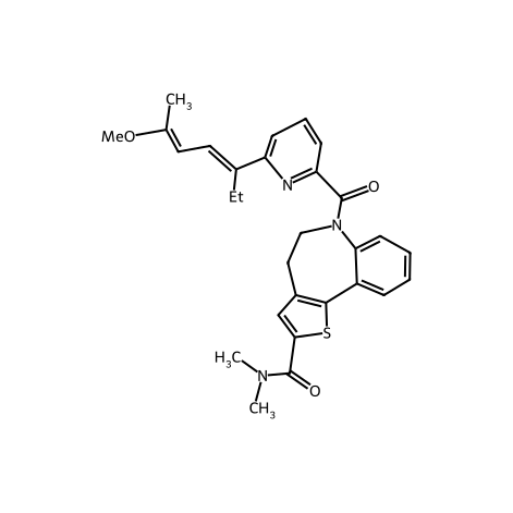 CC/C(=C\C=C(/C)OC)c1cccc(C(=O)N2CCc3cc(C(=O)N(C)C)sc3-c3ccccc32)n1